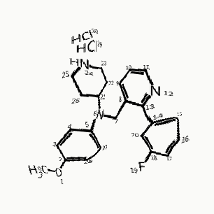 COc1ccc(N(Cc2cccnc2-c2cccc(F)c2)C2CCNCC2)cc1.Cl.Cl